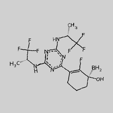 B[C@]1(O)CCCC(c2nc(N[C@H](C)C(F)(F)F)nc(N[C@H](C)C(F)(F)F)n2)=C1F